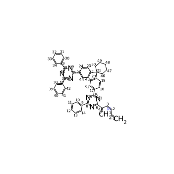 C=C/C=C\C(=C)c1nc(-c2ccccc2)nc(-c2ccc(C3(c4ccc(-c5nc(-c6ccccc6)nc(-c6ccccc6)n5)cc4)CCCCC3)cc2)n1